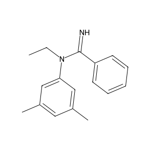 CCN(C(=N)c1ccccc1)c1cc(C)cc(C)c1